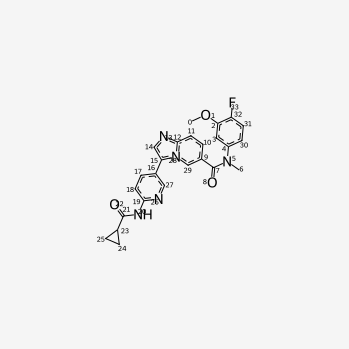 COc1cc(N(C)C(=O)c2ccc3ncc(-c4ccc(NC(=O)C5CC5)nc4)n3c2)ccc1F